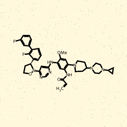 C=CC(=O)Nc1cc(Nc2cc(N3OCC[C@H]3c3cccc(-c4cccc(F)c4)c3F)ncn2)c(OC)cc1N1CCC(N2CCN(C3CC3)CC2)CC1